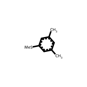 [CH2]Sc1cc(C)cc(C)c1